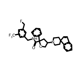 O=C(NCc1cc(CF)cc(C(F)(F)F)c1)C1(c2ccccc2)CC(N2CCC3(C=Cc4ccccc43)CC2)CO1